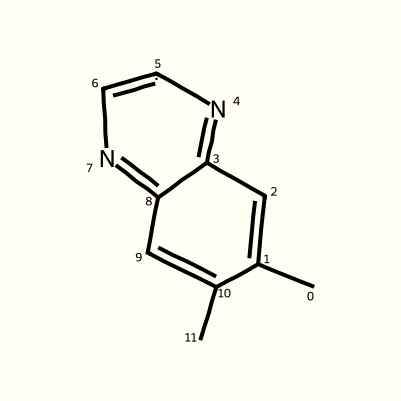 Cc1cc2n[c]cnc2cc1C